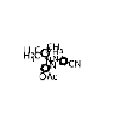 CC(=O)Oc1ccc2c(c1)nc(Nc1ccc(C#N)cc1)n2[C@@H]1C[C@H](C)CC(C)(C)C1